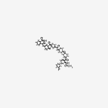 CC(=O)Nc1cc(-c2cccc(F)c2)cnc1C(=O)N1CCC(OC2CCN(CC(=O)N3CCN(C(=O)c4cc(Cc5n[nH]c(=O)c6ccccc56)ccc4F)CC3)CC2)CC1